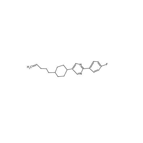 C=CCCCC1CCC(c2cnc(-c3ccc(F)cc3)nc2)CC1